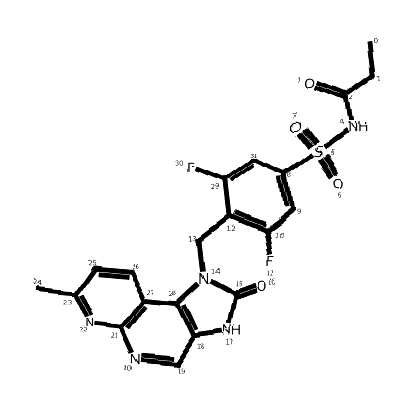 CCC(=O)NS(=O)(=O)c1cc(F)c(Cn2c(=O)[nH]c3cnc4nc(C)ccc4c32)c(F)c1